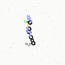 Cc1cccc2c1CC1(CCN(c3cnc4nc(Sc5ccnc(N)c5Cl)ccc4n3)CC1)C2